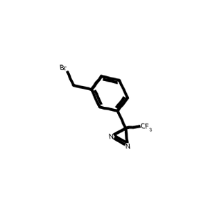 FC(F)(F)C1(c2cccc(CBr)c2)N=N1